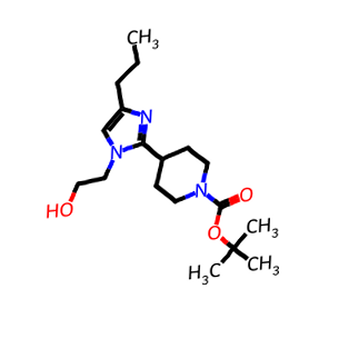 CCCc1cn(CCO)c(C2CCN(C(=O)OC(C)(C)C)CC2)n1